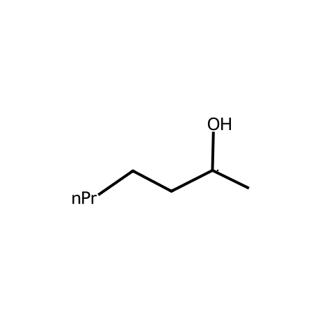 CCCCC[C](C)O